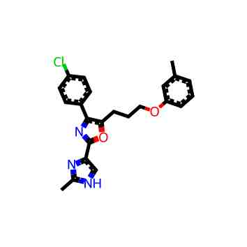 Cc1cccc(OCCCc2oc(-c3c[nH]c(C)n3)nc2-c2ccc(Cl)cc2)c1